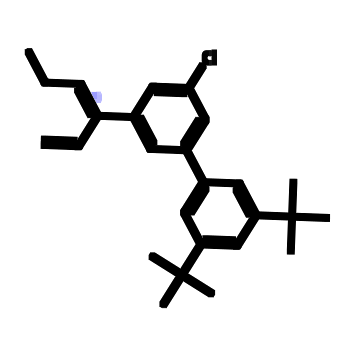 C=C/C(=C\CC)c1cc(Cl)cc(-c2cc(C(C)(C)C)cc(C(C)(C)C)c2)c1